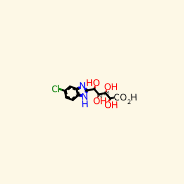 O=C(O)C(O)[C@H](O)[C@H](O)C(O)c1nc2cc(Cl)ccc2[nH]1